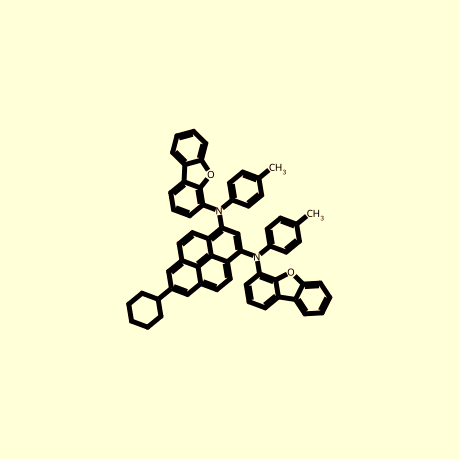 Cc1ccc(N(c2cc(N(c3ccc(C)cc3)c3cccc4c3oc3ccccc34)c3ccc4cc(C5CCCCC5)cc5ccc2c3c54)c2cccc3c2oc2ccccc23)cc1